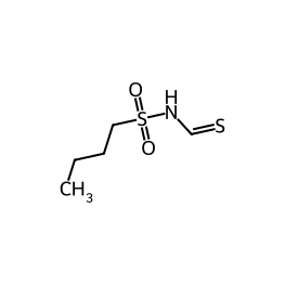 CCCCS(=O)(=O)NC=S